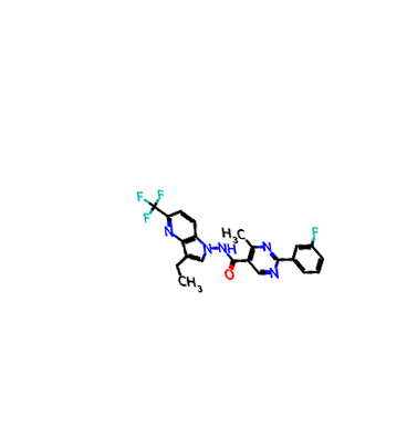 CCc1cn(NC(=O)c2cnc(-c3cccc(F)c3)nc2C)c2ccc(C(F)(F)F)nc12